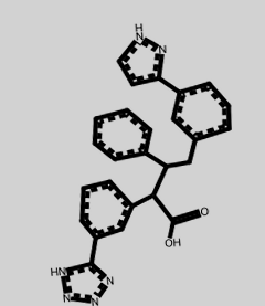 O=C(O)C([C](Cc1cccc(-c2cc[nH]n2)c1)c1ccccc1)c1cccc(-c2nnn[nH]2)c1